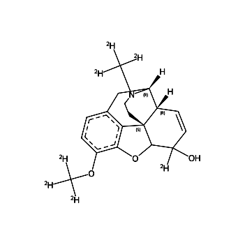 [2H]C([2H])([2H])Oc1ccc2c3c1OC1C([2H])(O)C=C[C@H]4[C@@H](C2)N(C([2H])([2H])[2H])CC[C@]314